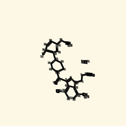 COCCn1cc(C(=O)N2CCC(c3cc(CN)ccc3F)CC2)c2c(Cl)ccc(C)c21.Cl